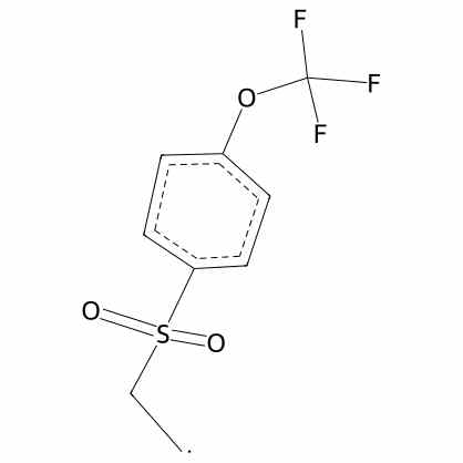 [CH2]CS(=O)(=O)c1ccc(OC(F)(F)F)cc1